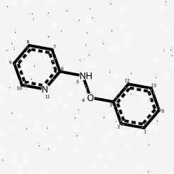 c1ccc(ONc2ccccn2)cc1